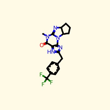 CN1C(=O)c2[nH]c(Cc3ccc(C(F)(F)F)cc3)nc2N2C1=NC1CCCC12